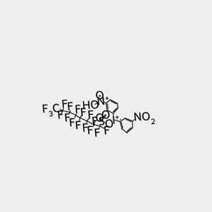 O=[N+]([O-])c1cccc([I+](OS(=O)(=O)C(F)(F)C(F)(F)C(F)(F)C(F)(F)C(F)(F)C(F)(F)C(F)(F)C(F)(F)F)c2cccc([N+](=O)O)c2)c1